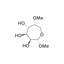 CO[C@H]1OC[C@@H](OC)[C@@H](O)[C@H](O)[C@@H]1O